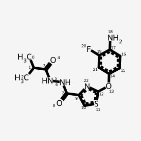 CC(C)C(=O)NNC(=O)c1csc(Oc2ccc(N)c(F)c2)n1